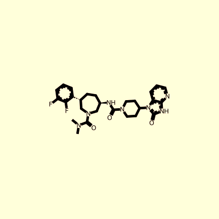 CN(C)C(=O)N1C[C@H](NC(=O)N2CCC(n3c(=O)[nH]c4ncccc43)CC2)CC[C@@H](c2cccc(F)c2F)C1